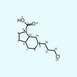 O=C(O)N1CCC2CCN(CCCCl)CC21